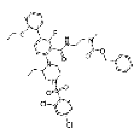 CCOc1ncccc1-c1ccc(N2CCN(S(=O)(=O)c3ccc(Cl)cc3Cl)C[C@H]2CC)c(C(=O)NCCN(C)C(=O)OCc2ccccc2)c1F